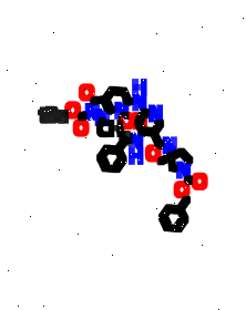 Cn1c2nc(Nc3cc(N[C@H](CO)c4ccccc4)c(C4=NC5(CCN(C(=O)OCc6ccccc6)C5)CO4)cn3)ccc2c(=O)n1C(=O)OC(C)(C)C